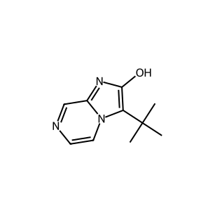 CC(C)(C)c1c(O)nc2cnccn12